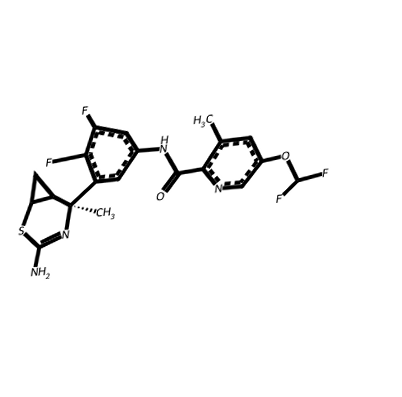 Cc1cc(OC(F)F)cnc1C(=O)Nc1cc(F)c(F)c([C@@]2(C)N=C(N)SC3CC32)c1